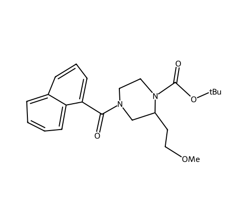 COCCC1CN(C(=O)c2cccc3ccccc23)CCN1C(=O)OC(C)(C)C